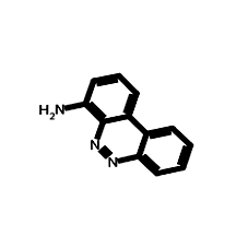 Nc1cccc2c1nnc1ccccc12